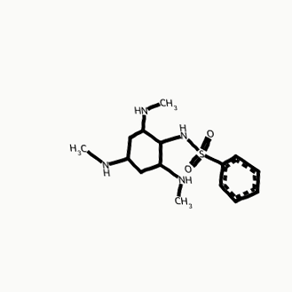 CNC1CC(NC)C(NS(=O)(=O)c2ccccc2)C(NC)C1